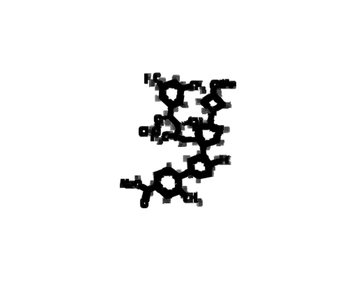 CCc1ccc(-c2ccc(C(=O)OC)cc2C)cc1-c1cnc(N2CC(OC)C2)nc1CN(C)[C@@H](C)[C@H](OC=O)c1cc(C(F)(F)F)cc(C(F)(F)F)c1